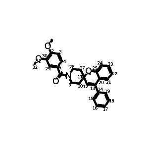 COc1ccc(C(=O)N2CCC3(C=C(c4ccccc4)c4ccccc4O3)CC2)cc1OC